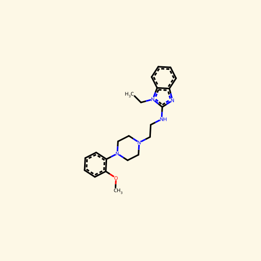 CCn1c(NCCN2CCN(c3ccccc3OC)CC2)nc2ccccc21